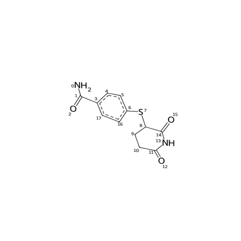 NC(=O)c1ccc(SC2CCC(=O)NC2=O)cc1